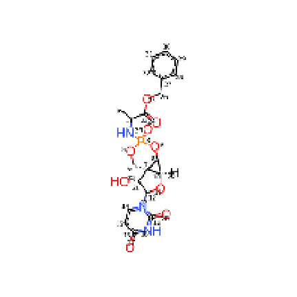 CC(NP1(=O)OC[C@]23C(O1)[C@H]2O[C@@H](n1ccc(=O)[nH]c1=O)[C@@H]3O)C(=O)OCc1ccccc1